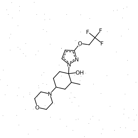 CC1CC(N2CCOCC2)CCC1(O)n1ccc(OCC(F)(F)F)n1